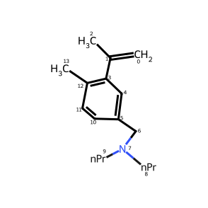 C=C(C)c1cc(CN(CCC)CCC)ccc1C